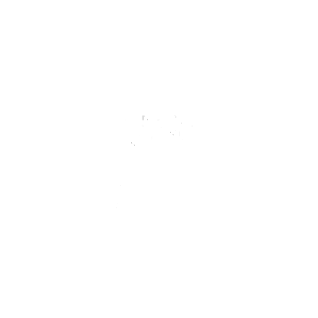 CCC[C@@H](CC(=O)N[C@H](C(=O)NCCOCCOC)C(C)(C)C)C(N)=O